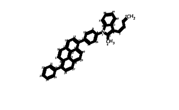 C=C/C=C\c1c(C)n(-c2ccc(-c3ccc4ccc5c(-c6ccccc6)ccc6ccc3c4c65)cc2)c2ccccc12